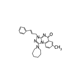 Cc1ccc2c(c1)c(=O)nc1n(CC=Cc3ccccc3)nc(N3CCCCCC3)n21